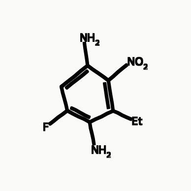 CCc1c(N)c(F)cc(N)c1[N+](=O)[O-]